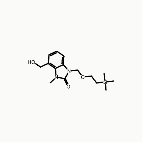 Cn1c(=O)n(COCC[Si](C)(C)C)c2cccc(CO)c21